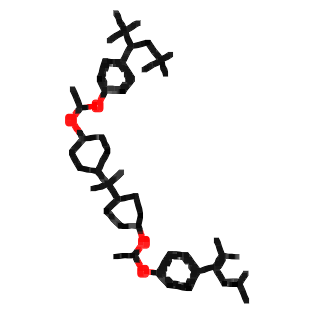 CC(C)=CC(=C(C)C)c1ccc(OC(C)OC2CCC(C(C)(C)C3CCC(OC(C)Oc4ccc(C(CC(C)(C)C)C(C)(C)C)cc4)CC3)CC2)cc1